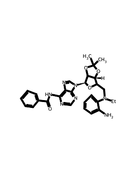 CCN(CC1O[C@@H](n2cnc3c(NC(=O)c4ccccc4)ncnc32)C2OC(C)(C)O[C@H]12)c1ccccc1N